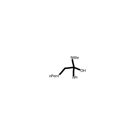 CCCCCCC(O)(CCC)NC